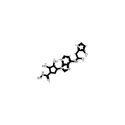 CCNC(=O)C1CC(n2cnc3c(NC(CC)Cc4sccc4Cl)ccnc32)C(O)C1O